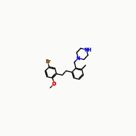 COc1ccc(Br)cc1CCc1cccc(C)c1CN1CCNCC1